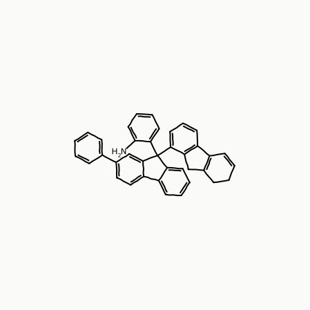 Nc1ccccc1C1(c2cccc3c2CC2=C3C=CCC2)c2ccccc2-c2ccc(-c3ccccc3)cc21